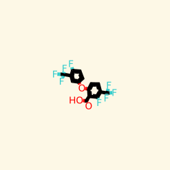 O=C(O)c1c(Oc2ccc(F)c(C(F)(F)F)c2)ccc(C(F)(F)F)c1F